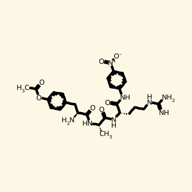 CC(=O)Oc1ccc(C[C@H](N)C(=O)N[C@@H](C)C(=O)N[C@@H](CCCNC(=N)N)C(=O)Nc2ccc([N+](=O)[O-])cc2)cc1